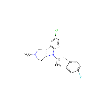 C[C@@H](Cc1ccc(F)cc1)N1c2ccc(Cl)cc2C2CN(C)CCC21